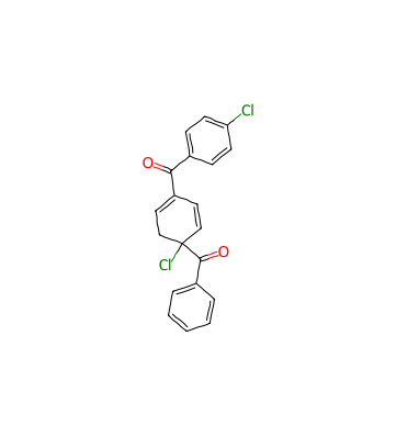 O=C(C1=CCC(Cl)(C(=O)c2ccccc2)C=C1)c1ccc(Cl)cc1